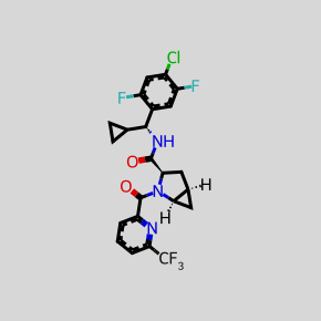 O=C(N[C@@H](c1cc(F)c(Cl)cc1F)C1CC1)[C@H]1C[C@H]2C[C@H]2N1C(=O)c1cccc(C(F)(F)F)n1